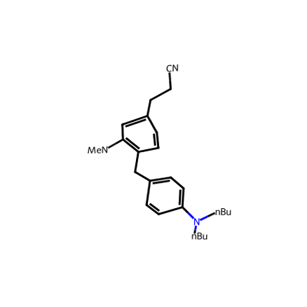 CCCCN(CCCC)c1ccc(Cc2ccc(CCC#N)cc2NC)cc1